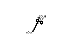 CCCCCCCCCCCCCCCCCCCc1ccc2nc(S(=O)(=O)O)[nH]c2c1-c1ccccc1